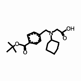 CC(C)(C)OC(=O)c1ccc(CN(CC(=O)O)C2CCCCC2)cc1